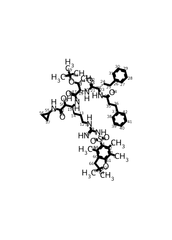 Cc1c(C)c(S(=O)(=O)NC(=N)NCCC[C@H](NC(=O)[C@@H](NC(=O)[C@H](CCc2ccccc2)NC(=O)CCc2ccccc2)[C@@H](C)OC(C)(C)C)C(O)C(=O)NC2CC2)c(C)c2c1OC(C)(C)C2